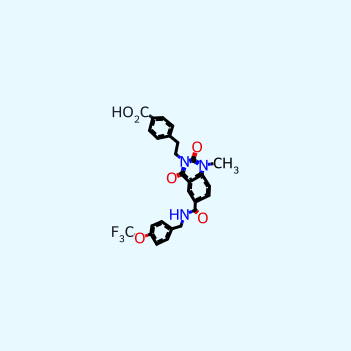 Cn1c(=O)n(CCc2ccc(C(=O)O)cc2)c(=O)c2cc(C(=O)NCc3ccc(OC(F)(F)F)cc3)ccc21